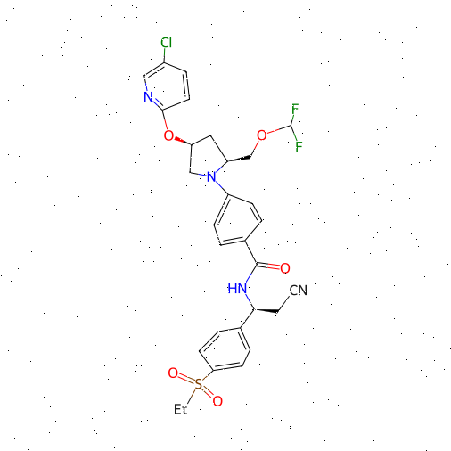 CCS(=O)(=O)c1ccc([C@H](CC#N)NC(=O)c2ccc(N3C[C@@H](Oc4ccc(Cl)cn4)C[C@H]3COC(F)F)cc2)cc1